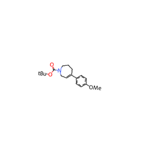 COc1ccc(C2=CCN(C(=O)OC(C)(C)C)CCC2)cc1